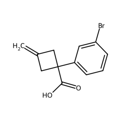 C=C1CC(C(=O)O)(c2cccc(Br)c2)C1